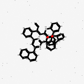 C=C/C(=C\C1=C(C)C2(c3ccccc3O1)c1ccccc1-c1ccccc12)c1ccccc1-c1cc(-c2cccc3ccccc23)nc(-c2ccccc2)n1